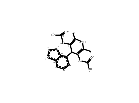 CC1=C(OC(=O)O)C(c2cccc3nonc23)C(OC(=O)O)=C(C)N1